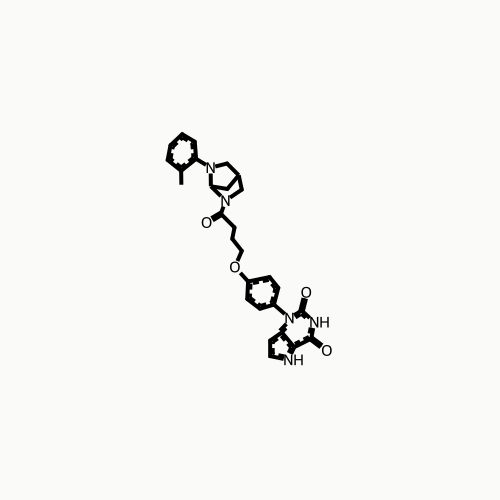 Cc1ccccc1N1CC2CC1N(C(=O)CCCOc1ccc(-n3c(=O)[nH]c(=O)c4[nH]ccc43)cc1)C2